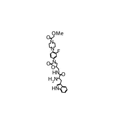 COCC(=O)N1CCN(c2ccc(N3CC(CNC(=O)C(N)Cc4c[nH]c5ccccc45)OC3=O)cc2F)CC1